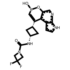 O=C(N[C@H]1C[C@@H](C2=CB(O)Oc3cnc4[nH]ccc4c32)C1)N1CC(F)(F)C1